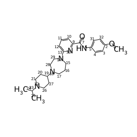 COc1ccc(NC(=O)c2cccc(N3CCCN(C4CCN(C(C)C)CC4)CC3)n2)cc1